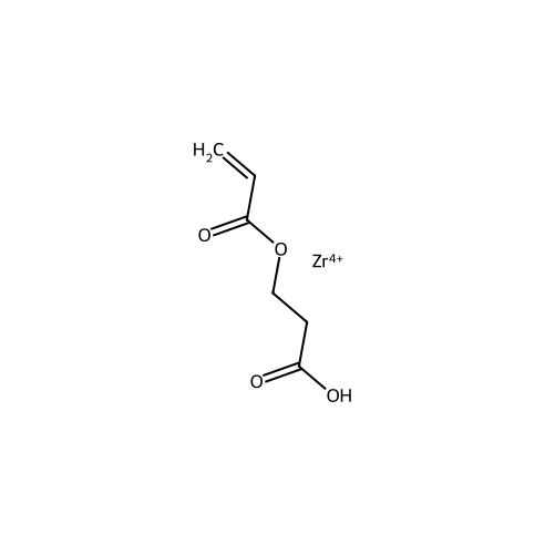 C=CC(=O)OCCC(=O)O.[Zr+4]